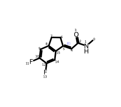 CNC(=O)/C=C1\CCc2cc(F)c(F)cc21